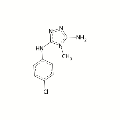 Cn1c(N)nnc1Nc1ccc(Cl)cc1